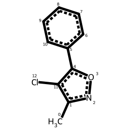 Cc1noc(-c2ccccc2)c1Cl